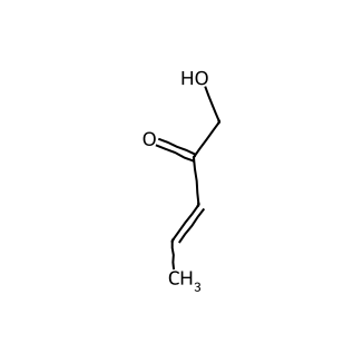 CC=CC(=O)CO